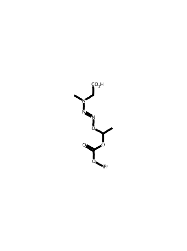 CC(C)OC(=O)OC(C)ON=NN(C)CC(=O)O